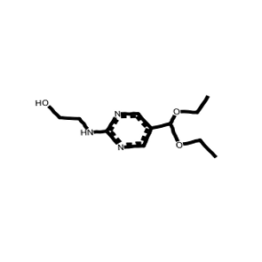 CCOC(OCC)c1cnc(NCCO)nc1